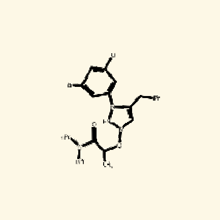 CCCN(CCC)C(=O)C(C)ON1C=C(CC(C)C)N(c2cc(Cl)cc(Br)c2)N1